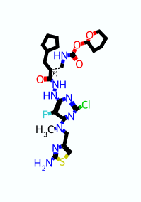 CN(Cc1csc(N)n1)c1nc(Cl)nc(NNC(=O)[C@@H](CNC(=O)OC2CCCCO2)CC2CCCC2)c1F